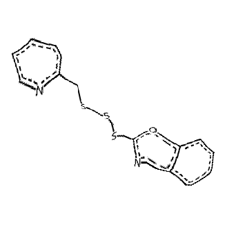 c1ccc(CSSSc2nc3ccccc3o2)nc1